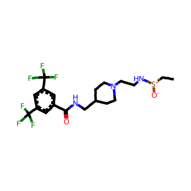 CC[S+]([O-])NCCN1CCC(CNC(=O)c2cc(C(F)(F)F)cc(C(F)(F)F)c2)CC1